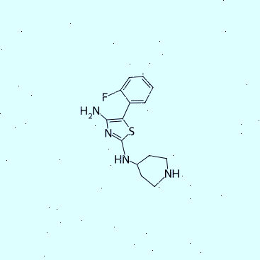 Nc1nc(NC2CCNCC2)sc1-c1cc[c]cc1F